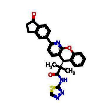 CC(C)(C(=O)Nc1nncs1)[C@H]1c2ccccc2Oc2nc(-c3ccc4c(c3)CCC4=O)ccc21